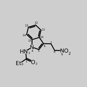 CCC(=O)Nn1cc(CC[N+](=O)[O-])c2ccccc21